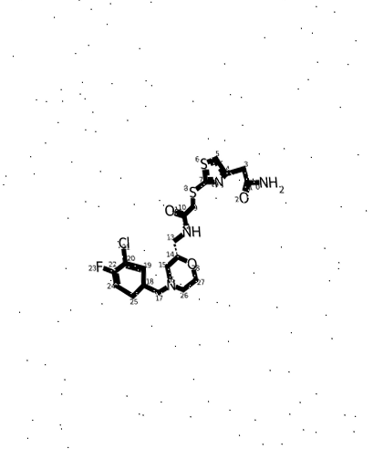 NC(=O)Cc1csc(SCC(=O)NC[C@H]2CN(CC3C=C(Cl)C(F)=CC3)CCO2)n1